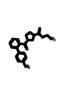 CCOC(=O)C1CCN(C(=O)c2ccccc2-c2ccc(N)cc2)C1